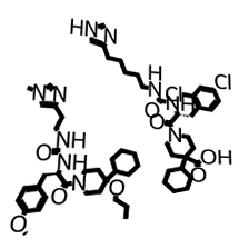 CCCOC1(C2CCCCC2)CCN(C(=O)[C@@H](Cc2ccc(OC)cc2)NC(=O)NCCc2cn(C)cn2)CC1.O=C(NCCCCCc1c[nH]cn1)N[C@H](Cc1ccc(Cl)cc1Cl)C(=O)N1CCC(C(=O)O)(C2CCCCC2)CC1